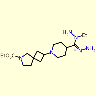 CCOC(=O)N1CCC2(CC(N3CCC(/C(=N/N)N(N)CC)CC3)C2)C1